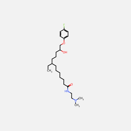 CCC(CCCCCCC(=O)NCCN(C)C)CCCC(O)COc1ccc(F)cc1